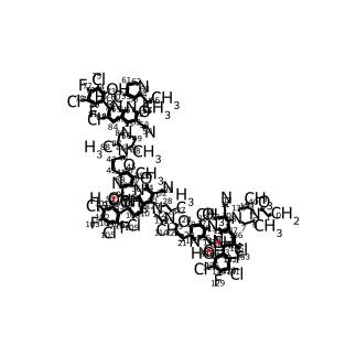 C=CC(=O)N1[C@H](C)CN(c2c(C#N)c(=O)n(-c3c(C)cc(/C=C\C(=O)N4[C@H](C)CN(c5c(C#N)c(=O)n(-c6c(C)cc(/C=C\C(=O)N7[C@H](C)CN(c8c(C#N)c(=O)n(-c9c(C)ccnc9C(C)C)c9nc(-c%10c(O)c(Cl)c(F)c(Cl)c%10F)c(Cl)cc89)C[C@@H]7C)nc6C(C)C)c6nc(-c7c(O)c(Cl)c(F)c(Cl)c7F)c(Cl)cc56)C[C@@H]4C)nc3C(C)C)c3nc(-c4c(O)c(Cl)c(F)c(Cl)c4F)c(Cl)cc23)C[C@@H]1C